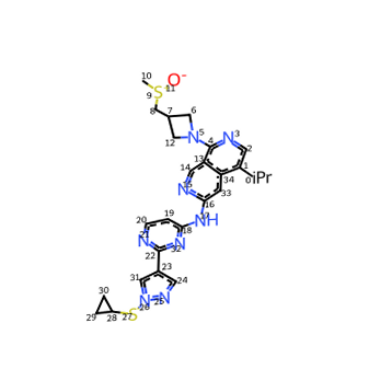 CC(C)c1cnc(N2CC(C[S+](C)[O-])C2)c2cnc(Nc3ccnc(-c4cnn(SC5CC5)c4)n3)cc12